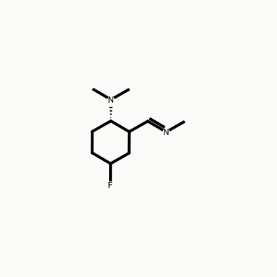 C/N=C/C1CC(F)CC[C@@H]1N(C)C